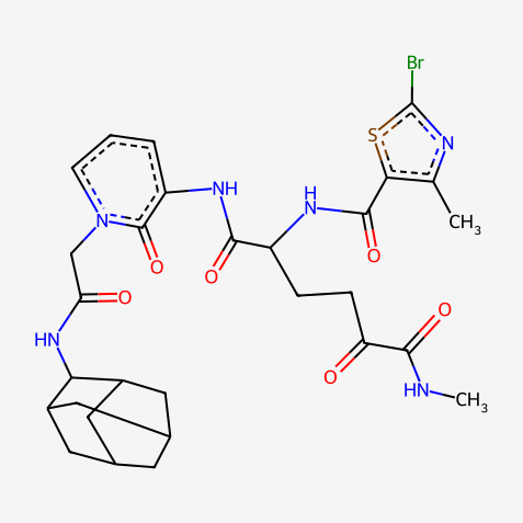 CNC(=O)C(=O)CCC(NC(=O)c1sc(Br)nc1C)C(=O)Nc1cccn(CC(=O)NC2C3CC4CC(C3)CC2C4)c1=O